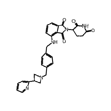 O=C1CCC(N2C(=O)c3cccc(NCc4ccc(CN5CC(c6ccccn6)C5)cc4)c3C2=O)C(=O)N1